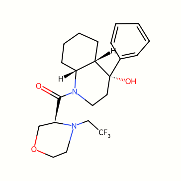 O=C([C@@H]1COCCN1CC(F)(F)F)N1CC[C@](O)(c2ccccc2)[C@H]2CCCC[C@H]21